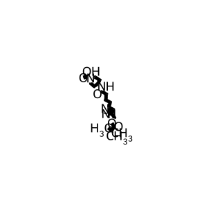 CC(C)(C)C(=O)OCn1cc(CCCC(=O)NC2CCN(C(=O)O)CC2)nn1